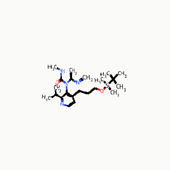 C=NC(=C)N(C(=O)NC)c1c(CCCO[Si](C)(C)C(C)(C)C)ccnc1C(C)C